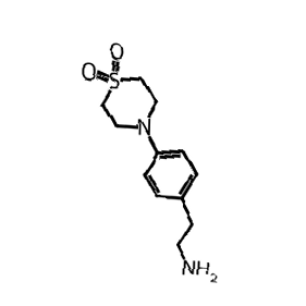 NCCc1ccc(N2CCS(=O)(=O)CC2)cc1